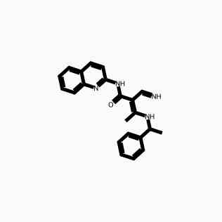 C/C(NC(C)c1ccccc1)=C(/C=N)C(=O)Nc1ccc2ccccc2n1